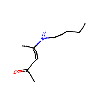 CCCCNC(C)=CC(C)=O